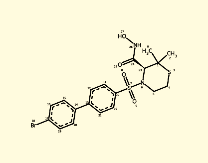 CC1(C)SCCN(S(=O)(=O)c2ccc(-c3ccc(Br)cc3)cc2)[C@H]1C(=O)NO